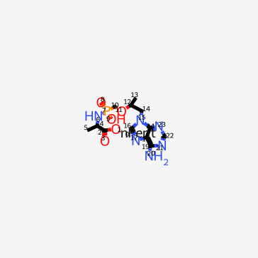 CCCCCOC(=O)C(C)NP(=O)(O)COC(C)Cn1cnc2c(N)ncnc21